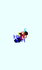 Cc1cc(C)c(N2CCCC2)c(C)c1NC(=O)c1sccc1NS(=O)(=O)c1cccc(F)c1